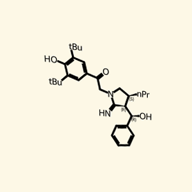 CCC[C@@H]1CN(CC(=O)c2cc(C(C)(C)C)c(O)c(C(C)(C)C)c2)C(=N)[C@@H]1[C@@H](O)c1ccccc1